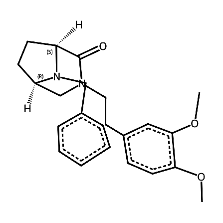 COc1ccc(CCN2C[C@H]3CC[C@@H](C2=O)N3Cc2ccccc2)cc1OC